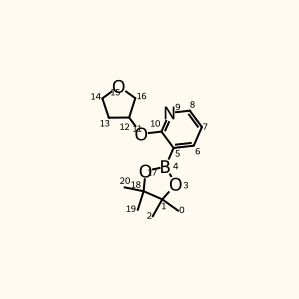 CC1(C)OB(c2cccnc2OC2CCOC2)OC1(C)C